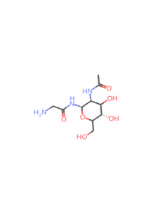 CC(=O)N[C@H]1C(O)[C@H](O)C(CO)O[C@H]1NC(=O)CN